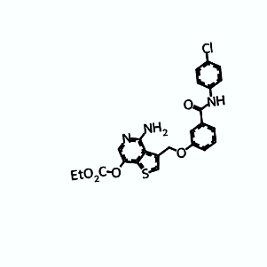 CCOC(=O)Oc1cnc(N)c2c(COc3cccc(C(=O)Nc4ccc(Cl)cc4)c3)csc12